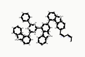 C/C=C\C=C/c1ccc2oc3cccc(-c4cc(-c5nc(-c6ccccc6)nc(-c6cccc7oc8ccccc8c67)n5)c5c(c4)oc4ccccc45)c3c2c1